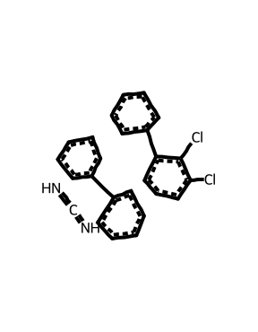 Clc1cccc(-c2ccccc2)c1Cl.N=C=N.c1ccc(-c2ccccc2)cc1